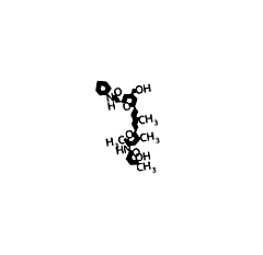 CC(/C=C/[C@@H]1C[C@H](CO)C[C@@H](CC(=O)NC2CCCCC2)O1)=C\C[C@@H]1O[C@H](C)[C@H](NC(=O)/C=C\[C@H](C)O)C[C@@H]1C